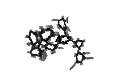 c1ccc(-c2cccc(-c3nc(-c4ccccc4)nc(-c4cccc5c4-c4ccccc4C5(c4ccccc4)c4ccccc4)n3)c2)cc1